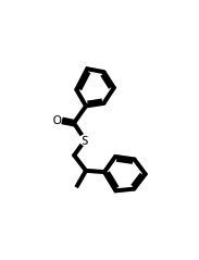 CC(CSC(=O)c1ccccc1)c1ccccc1